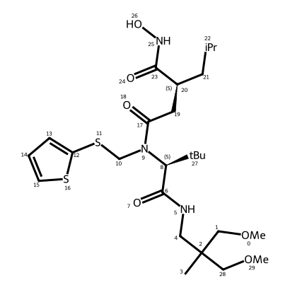 COCC(C)(CNC(=O)[C@@H](N(CSc1cccs1)C(=O)C[C@H](CC(C)C)C(=O)NO)C(C)(C)C)COC